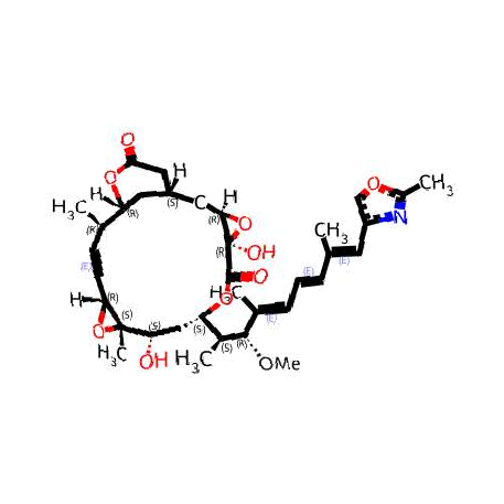 CO[C@@H](/C(C)=C/C=C/C(C)=C/c1coc(C)n1)[C@@H](C)[C@@H]1C[C@H](O)[C@]2(C)O[C@@H]2/C=C/[C@@H](C)[C@H]2C[C@H](CC(=O)O2)C[C@H]2O[C@@]2(O)C(=O)O1